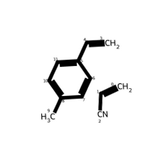 C=CC#N.C=Cc1ccc(C)cc1